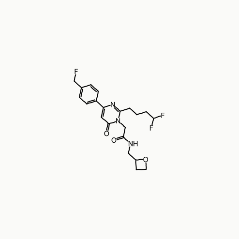 O=C(Cn1c(CCCC(F)F)nc(-c2ccc(CF)cc2)cc1=O)NCC1CCO1